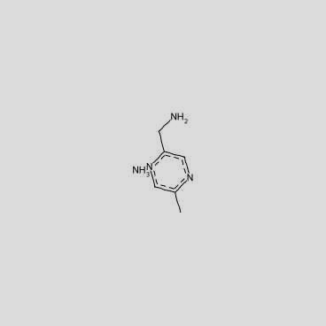 Cc1cnc(CN)cn1.N